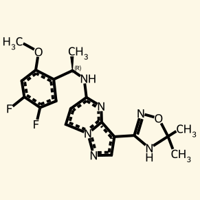 COc1cc(F)c(F)cc1[C@@H](C)Nc1ccn2ncc(C3=NOC(C)(C)N3)c2n1